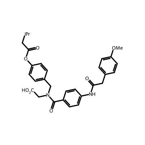 COc1ccc(CC(=O)Nc2ccc(C(=O)N(CC(=O)O)Cc3ccc(OC(=O)CC(C)C)cc3)cc2)cc1